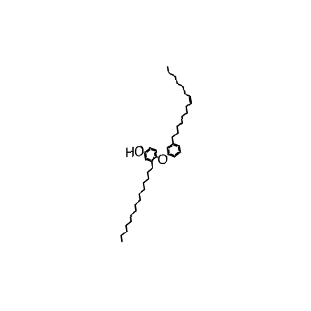 CCCCCC/C=C\CCCCCCCc1cccc(Oc2ccc(O)cc2CCCCCCCCCCCCCCC)c1